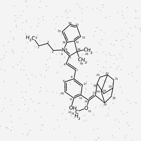 CCCC[N+]1=C(/C=C/c2ccc(O)c(C(OC)=C3C4CC5CC(C4)CC3C5)c2)C(C)(C)c2ccccc21